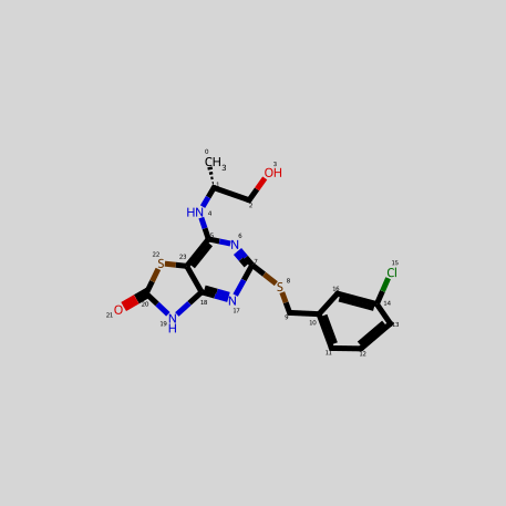 C[C@H](CO)Nc1nc(SCc2cccc(Cl)c2)nc2[nH]c(=O)sc12